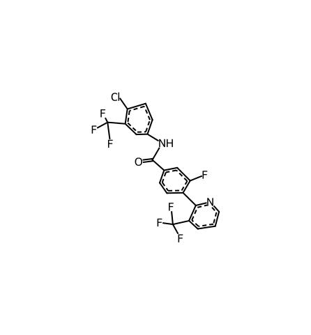 O=C(Nc1ccc(Cl)c(C(F)(F)F)c1)c1ccc(-c2ncccc2C(F)(F)F)c(F)c1